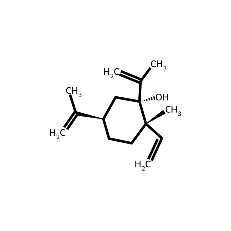 C=C[C@]1(C)CC[C@@H](C(=C)C)C[C@@]1(O)C(=C)C